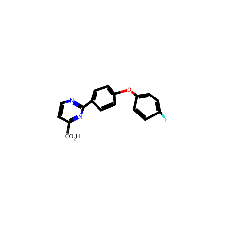 O=C(O)c1ccnc(-c2ccc(Oc3ccc(F)cc3)cc2)n1